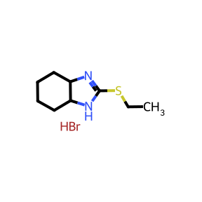 Br.CCSC1=NC2CCCCC2N1